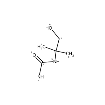 CC(C)(CO)NC([NH])=O